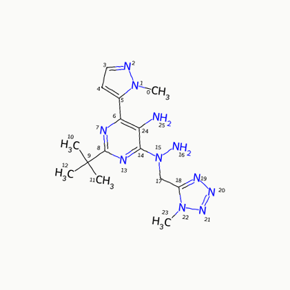 Cn1nccc1-c1nc(C(C)(C)C)nc(N(N)Cc2nnnn2C)c1N